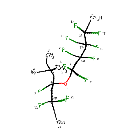 CC(C)C(C)(C)C(F)(OC(F)(F)C(F)(F)C(F)(F)C(F)(F)S(=O)(=O)O)C(F)(F)C(C)(C)C